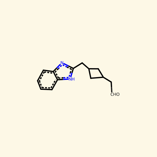 O=CCC1CC(Cc2nc3ccccc3[nH]2)C1